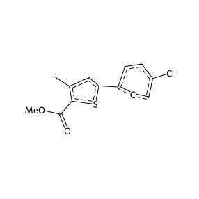 COC(=O)c1sc(-c2ccc(Cl)cc2)cc1C